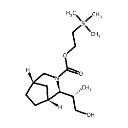 C[C@H](CO)[C@H]1[C@@H]2CC[C@@H](C2)CN1C(=O)OCC[Si](C)(C)C